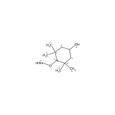 CCCCCCON1C(C)(C)CC(O)CC1(C)C